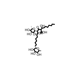 CCCCCCCC(O)C(C(=O)O)C(=O)C(C(O)CCCCCCC[C@@H]1O[C@@H](C)[C@H](O)[C@@H](O)[C@H]1O)[C@@H]1O[C@@H](C)[C@H](O)[C@@H](O)[C@H]1O